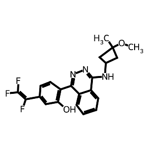 COC1(C)CC(Nc2nnc(-c3ccc(C(F)=C(F)F)cc3O)c3ccccc23)C1